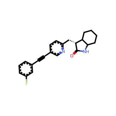 O=C1NC2CCCCC2[C@H]1Cc1ccc(C#Cc2cccc(F)c2)cn1